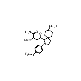 COC(CC(=O)C1N(c2ccc(OC(F)(F)F)cc2)CCC12CCN(C(=O)O)CC2)C(N)=O